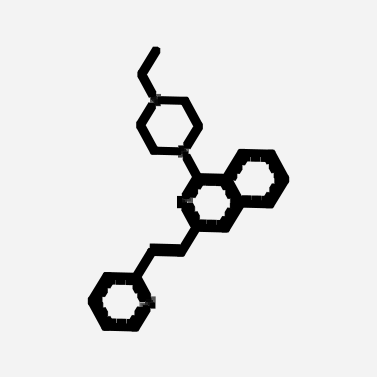 CCN1CCN(c2nc(/C=C/c3ccccn3)cc3ccccc23)CC1